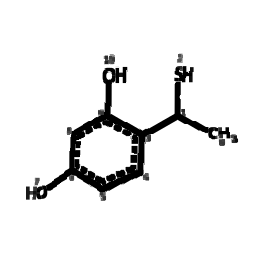 CC(S)c1ccc(O)cc1O